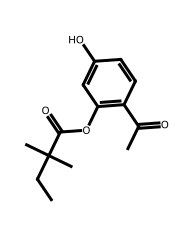 CCC(C)(C)C(=O)Oc1cc(O)ccc1C(C)=O